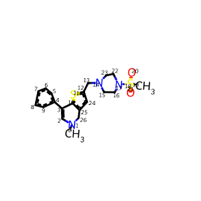 CN1C=C(c2ccccc2)c2sc(CN3CCN(S(C)(=O)=O)CC3)cc2C1